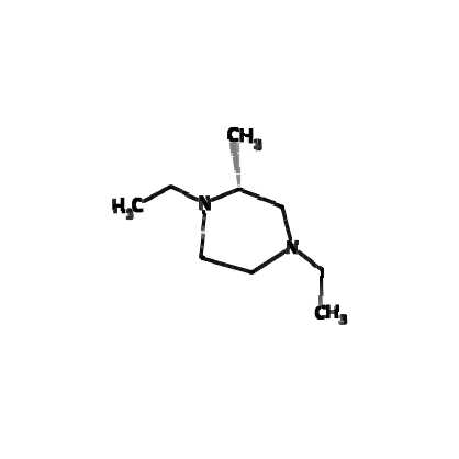 CCN1CCN(CC)[C@H](C)C1